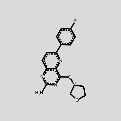 Nc1nc(O[C@H]2CCOC2)c2nc(-c3ccc(F)cc3)ccc2n1